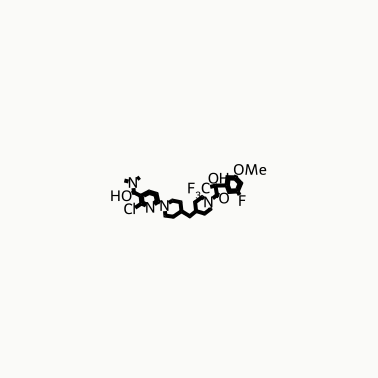 COc1cc(F)cc(C(O)(C(=O)N2CCC(CC3CCN(c4ccc(C(O)N(C)C)c(Cl)n4)CC3)CC2)C(F)(F)F)c1